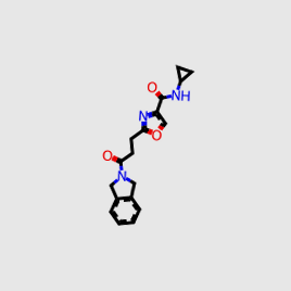 O=C(NC1CC1)c1coc(CCC(=O)N2Cc3ccccc3C2)n1